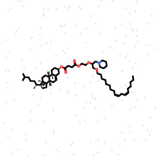 CCCCC/C=C\C/C=C\CCCCCCCCOCC(CN1CCCCC1)OCCOC(=O)CCC(=O)O[C@H]1CC[C@@]2(C)C(=CC[C@H]3[C@@H]4CC[C@H]([C@H](C)CCCC(C)C)[C@@]4(C)CC[C@@H]32)C1